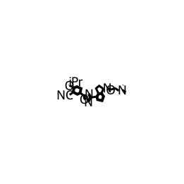 CC(C)Oc1ccc(-c2nc(-c3cccc4c3CC/C4=N/OCCN(C)C)no2)cc1C#N